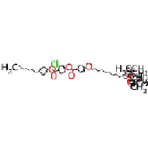 CCCCCCCc1ccc(OC(=O)c2ccc(OC(=O)c3ccc(OCCCCCCCCCCC[Si](C)(O[Si](C)(C)C)O[Si](C)(C)C)cc3)cc2Cl)cc1